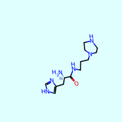 N[C@@H](Cc1c[nH]cn1)C(=O)NCCCN1CCNCC1